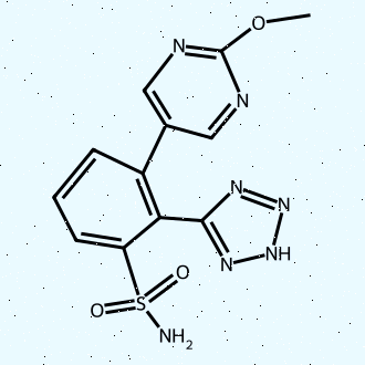 COc1ncc(-c2cccc(S(N)(=O)=O)c2-c2nn[nH]n2)cn1